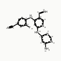 N#Cc1ccc(Nc2cc(Nc3cc(N)ncn3)ncc2C=N)c(F)c1